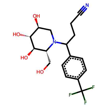 N#CCCC(c1ccc(C(F)(F)F)cc1)N1C[C@H](O)[C@@H](O)[C@H](O)[C@H]1CO